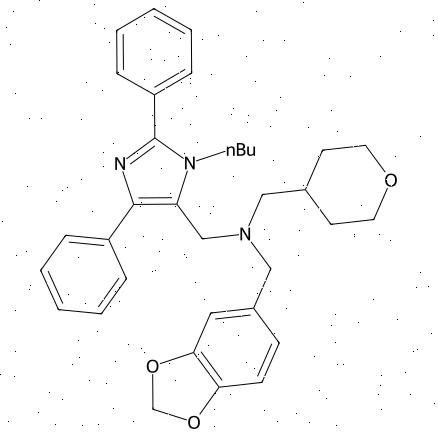 CCCCn1c(-c2ccccc2)nc(-c2ccccc2)c1CN(Cc1ccc2c(c1)OCO2)CC1CCOCC1